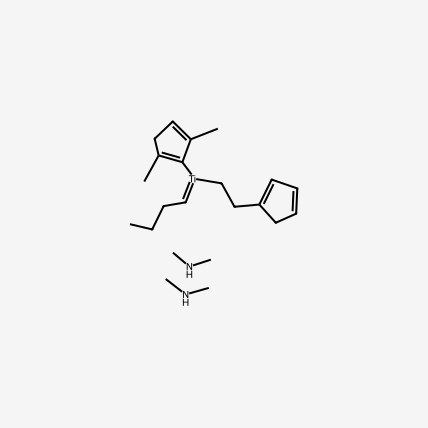 CCC[CH]=[Ti]([CH2]CC1=CC=CC1)[C]1=C(C)CC=C1C.CNC.CNC